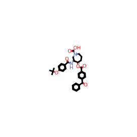 CC(C)(C)Oc1ccc(C(=O)N[C@@H]2CN(C(=O)O)CCC[C@H]2OC(=O)c2ccc(C(=O)c3ccccc3)cc2)cc1